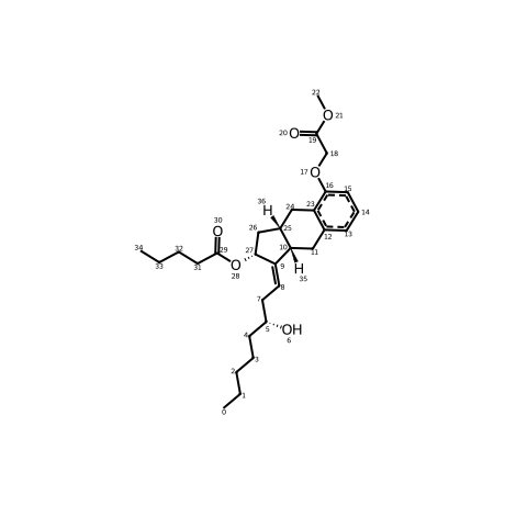 CCCCC[C@@H](O)C/C=C1/[C@H]2Cc3cccc(OCC(=O)OC)c3C[C@H]2C[C@H]1OC(=O)CCCC